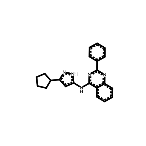 c1ccc(-c2nc(Nc3cc(C4CCCC4)n[nH]3)c3ccccc3n2)cc1